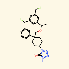 C[C@@H](OCC1(c2ccccc2)CCC(n2nn[nH]c2=O)CC1)c1cc(CF)cc(CF)c1